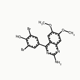 COc1cc2nc(N)nc(-c3cc(Br)c(O)c(Br)c3)c2cc1OC